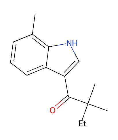 CCC(C)(C)C(=O)c1c[nH]c2c(C)cccc12